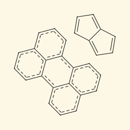 C1=CC2=CC=CC2=C1.c1cc2cccc3c4cccc5cccc(c(c1)c23)c54